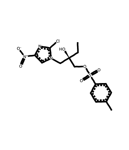 CC[C@](O)(COS(=O)(=O)c1ccc(C)cc1)Cn1cc([N+](=O)[O-])nc1Cl